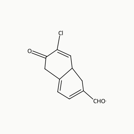 O=[C]C1=CC=C2CC(=O)C(Cl)=CC2C1